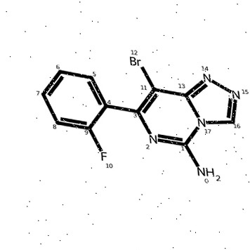 Nc1nc(-c2ccccc2F)c(Br)c2nncn12